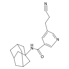 N#CCCc1cncc(C(=O)NC23CC4CC(CC(C4)C2)C3)c1